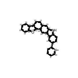 c1ccc(-c2ccc3[nH]c4cc5ccc6c7ccccc7oc6c5cc4c3c2)nc1